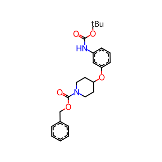 CC(C)(C)OC(=O)Nc1cccc(OC2CCN(C(=O)OCc3ccccc3)CC2)c1